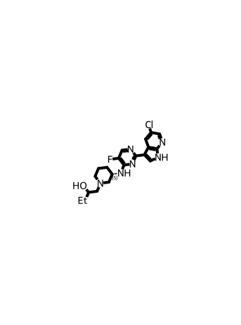 CCC(O)CN1CCC[C@H](Nc2nc(-c3c[nH]c4ncc(Cl)cc34)ncc2F)C1